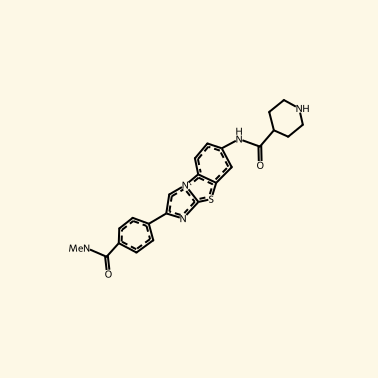 CNC(=O)c1ccc(-c2cn3c(n2)sc2cc(NC(=O)C4CCNCC4)ccc23)cc1